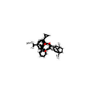 COC(=O)c1ccc2cc(S[C@@H]3[C@@H]4CC[C@H]3C[C@@H](OCc3c(-c5ccccc5OC(F)(F)F)noc3C3CC3)C4)ccc2c1